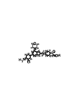 C[N+](C)(c1ncc(C(=O)NO)cn1)c1cc2nc(-c3ccc(N)c(Cl)c3)nc(N3CCOCC3)c2s1